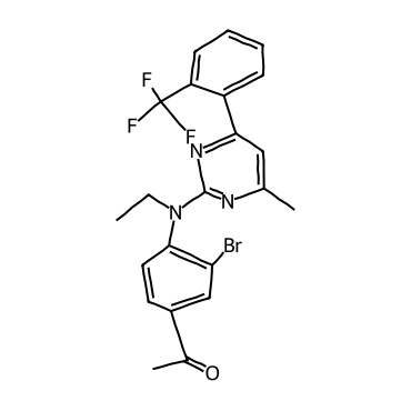 CCN(c1nc(C)cc(-c2ccccc2C(F)(F)F)n1)c1ccc(C(C)=O)cc1Br